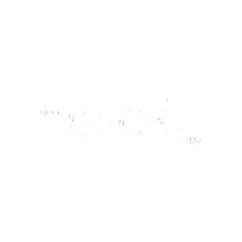 COCCN(C1CC1)C1CCN(C2CC3(CCN(C(=O)O)C3)C2)CC1